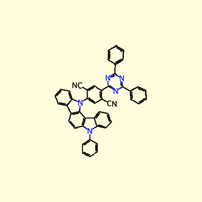 N#Cc1cc(-n2c3ccccc3c3ccc4c(c5ccccc5n4-c4ccccc4)c32)c(C#N)cc1-c1nc(-c2ccccc2)nc(-c2ccccc2)n1